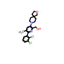 Cc1cc(N2CCC3(CCOC3)CC2)c(CO)nc1-c1cccc(Cl)c1Cl